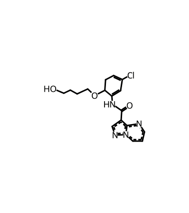 O=C(NC1=CC(Cl)=CCC1OCCCCO)c1cnn2cccnc12